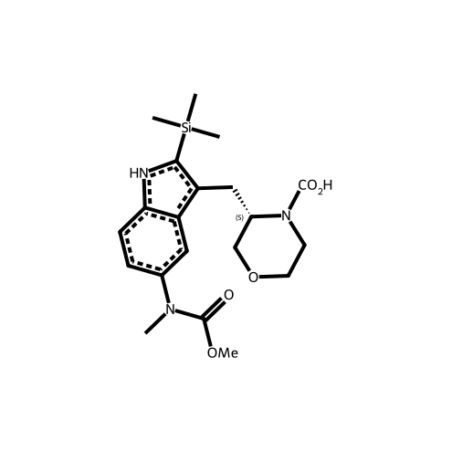 COC(=O)N(C)c1ccc2[nH]c([Si](C)(C)C)c(C[C@H]3COCCN3C(=O)O)c2c1